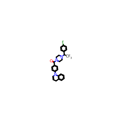 O=C(c1ccc(N2C=CCc3ccccc32)cc1)N1CCN(C(c2ccc(F)cc2)C(F)(F)F)CC1